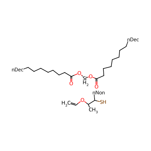 C=COC(C)C(S)CCCCCCCCC.CCCCCCCCCCCCCCCCCC(=O)O[SiH2]OC(=O)CCCCCCCCCCCCCCCCC